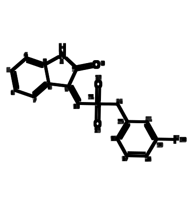 O=C1Nc2ccccc2C1=CS(=O)(=O)Cc1cccc(F)c1